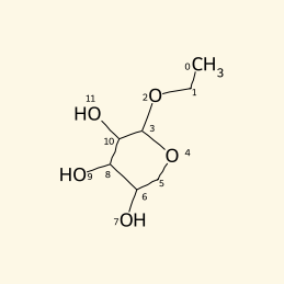 CCOC1OCC(O)C(O)C1O